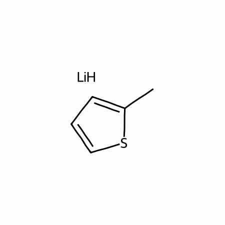 Cc1cccs1.[LiH]